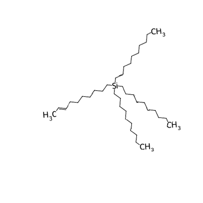 CC=CCCCCCCC[Si](CCCCCCCCCC)(CCCCCCCCCC)CCCCCCCCCC